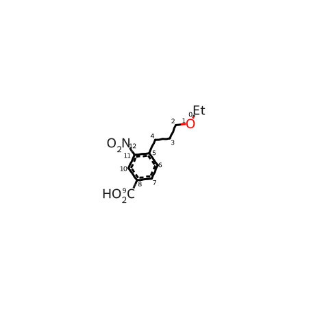 CCOCCCc1ccc(C(=O)O)cc1[N+](=O)[O-]